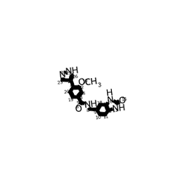 COc1cc(C(=O)NCc2ccc3[nH]c(=O)[nH]c3c2)ccc1-c1cn[nH]c1